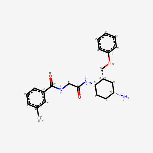 N[C@@H]1CC[C@H](NC(=O)CNC(=O)c2cccc(C(F)(F)F)c2)[C@H](COc2ccccc2)C1